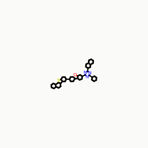 c1ccc(-c2nc(-c3ccc4ccccc4c3)nc(-c3ccc4c(c3)oc3cc(-c5ccc6sc7c8ccccc8ccc7c6c5)ccc34)n2)cc1